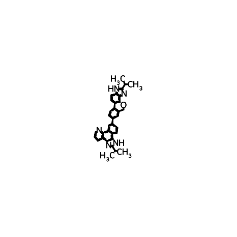 CC(C)c1nc2c3c(ccc2[nH]1)-c1ccc(-c2ccc4c(c2)c2ncccc2c2nc(C(C)C)[nH]c42)cc1CO3